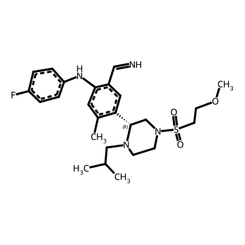 COCCS(=O)(=O)N1CCN(CC(C)C)[C@H](c2cc(C=N)c(Nc3ccc(F)cc3)cc2C)C1